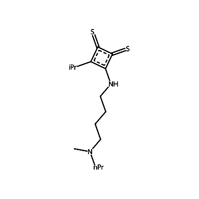 CCCN(C)CCCCNc1c(C(C)C)c(=S)c1=S